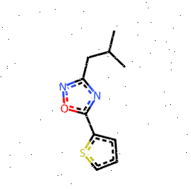 CC(C)Cc1noc(-c2cccs2)n1